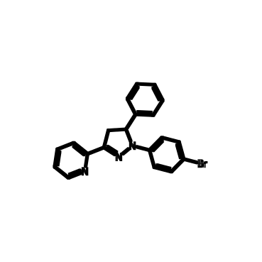 Brc1ccc(N2N=C(c3ccccn3)CC2c2ccccc2)cc1